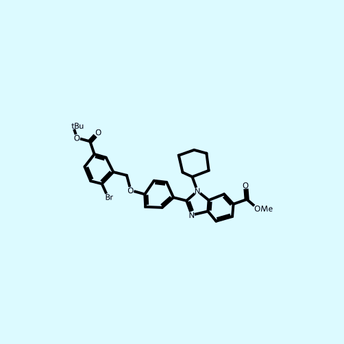 COC(=O)c1ccc2nc(-c3ccc(OCc4cc(C(=O)OC(C)(C)C)ccc4Br)cc3)n(C3CCCCC3)c2c1